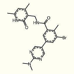 Cc1cc(C)c(CNC(=O)c2cc(-c3cnc(N(C)C)nc3)cc(Br)c2C)c(=O)[nH]1